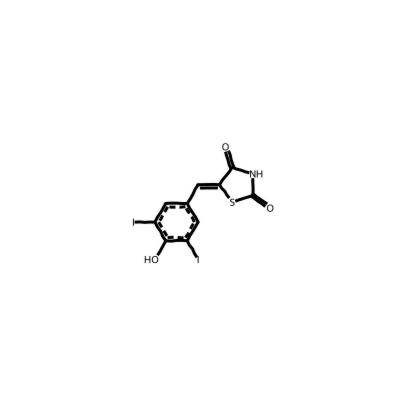 O=C1NC(=O)C(=Cc2cc(I)c(O)c(I)c2)S1